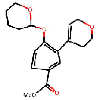 COC(=O)c1ccc(OC2CCCCO2)c(C2=CCOCC2)c1